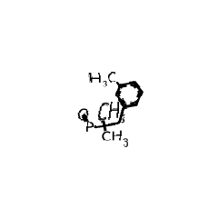 Cc1cccc(CC(C)(C)P=O)c1